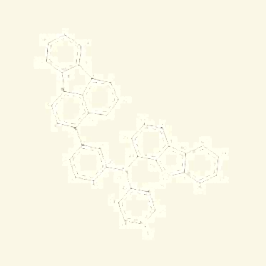 c1cc(-c2ccc3c4c(cccc24)-c2ccccc2-3)cc(N(c2ccncc2)c2cccc3c2oc2ccccc23)c1